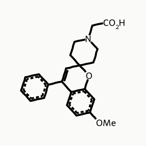 COc1ccc2c(c1)OC1(C=C2c2ccccc2)CCN(CC(=O)O)CC1